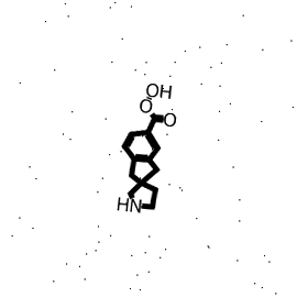 O=C(OO)c1ccc2c(c1)CC1(CCNC1)C2